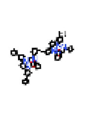 CCc1ccc2c(c1)c1ccc3c4cc(CCc5cccc(-c6cc(-n7c8ccc(-c9ccccc9)cc8c8ccc9c%10cc(-c%11ccccc%11)ccc%10n(-c%10ccccc%10)c9c87)cc(-c7ccccc7)n6)c5)ccc4n(-c4ccccc4)c3c1n2-c1nc(-c2ccccc2)cc(-c2ccccc2)n1